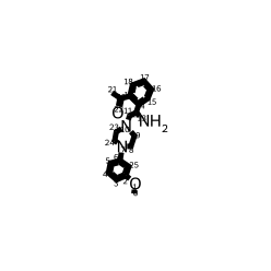 COc1cccc(N2CCN(CC(N)c3ccccc3C(C)=O)CC2)c1